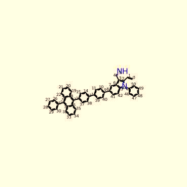 C=Cc1c(C=N)c2cc(-c3ccc(-c4ccc(-c5c6ccccc6c(-c6ccccc6)c6ccccc56)cc4)cc3)ccc2n1-c1ccccc1